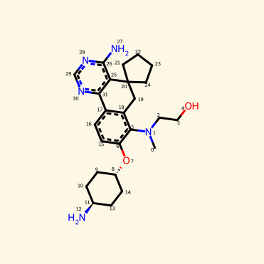 CN(CCO)c1c(O[C@H]2CC[C@H](N)CC2)ccc2c1CC1(CCCC1)c1c(N)ncnc1-2